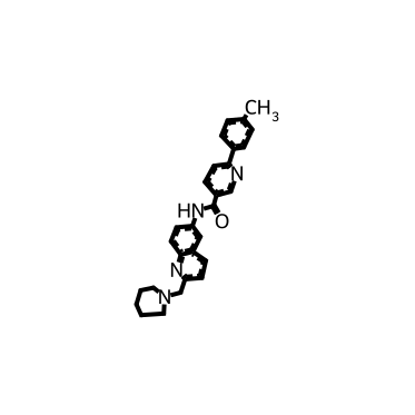 Cc1ccc(-c2ccc(C(=O)Nc3ccc4nc(CN5CCCCC5)ccc4c3)cn2)cc1